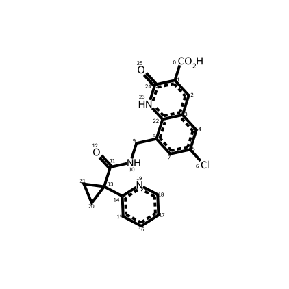 O=C(O)c1cc2cc(Cl)cc(CNC(=O)C3(c4ccccn4)CC3)c2[nH]c1=O